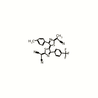 C/C(C#N)=c1\nc(-c2ccc(C)cc2)/c(=c2\sc(=C(C#N)C#N)nc2-c2ccc(C(F)(F)F)cc2)s1